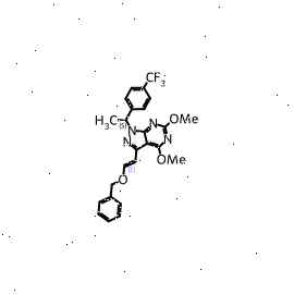 COc1nc(OC)c2c(/C=C/OCc3ccccc3)nn([C@@H](C)c3ccc(C(F)(F)F)cc3)c2n1